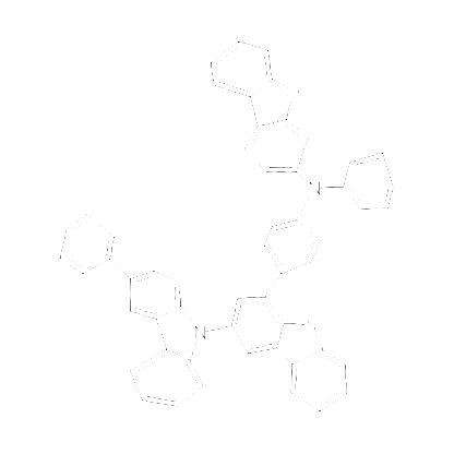 c1ccc(-c2ccc3c(c2)c2ccccc2n3-c2cc(-c3ccc(N(c4ccccc4)c4ccc5c(c4)oc4ccccc45)cc3)c3sc4ccccc4c3c2)cc1